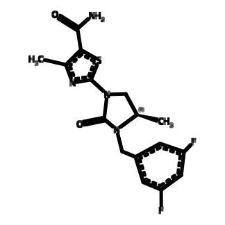 Cc1nc(N2C[C@@H](C)N(Cc3cc(F)cc(F)c3)C2=O)sc1C(N)=O